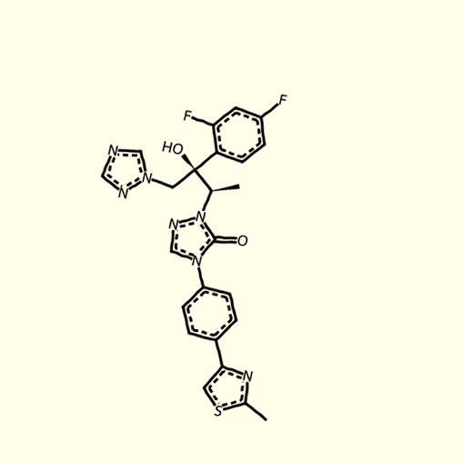 Cc1nc(-c2ccc(-n3cnn([C@H](C)[C@](O)(Cn4cncn4)c4ccc(F)cc4F)c3=O)cc2)cs1